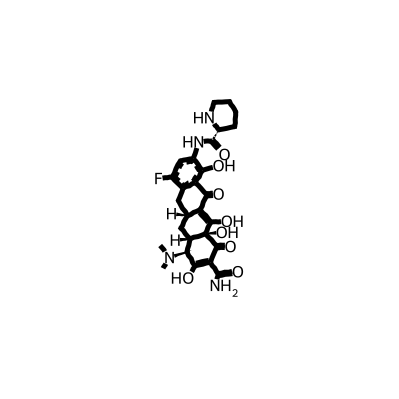 CN(C)[C@@H]1C(O)=C(C(N)=O)C(=O)[C@@]2(O)C(O)=C3C(=O)c4c(O)c(NC(=O)[C@H]5CCCCN5)cc(F)c4C[C@H]3C[C@@H]12